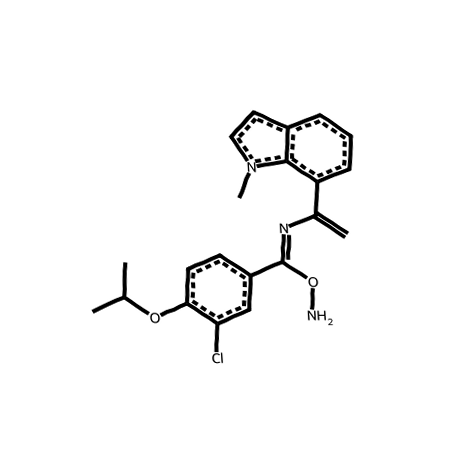 C=C(/N=C(\ON)c1ccc(OC(C)C)c(Cl)c1)c1cccc2ccn(C)c12